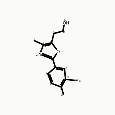 Cc1ccc(-c2nc(C)c(CCO)o2)cc1F